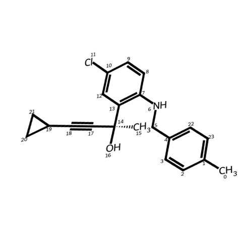 Cc1ccc(CNc2ccc(Cl)cc2[C@@](C)(O)C#CC2CC2)cc1